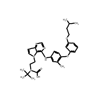 Cc1cc(Nc2ncnc3ccn(CCN(C(=O)O)C(C)(C)C)c23)ccc1Oc1cccc(OCCC(C)C)c1